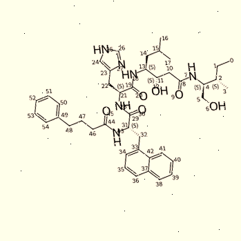 CC[C@H](C)[C@@H](CO)NC(=O)C[C@H](O)[C@H](CC(C)C)NC(=O)[C@H](Cc1c[nH]cn1)NC(=O)[C@H](Cc1cccc2ccccc12)NC(=O)CCCc1ccccc1